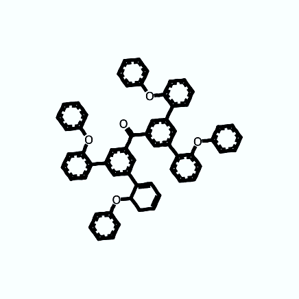 O=C(c1cc(C2=CC=CCC2Oc2ccccc2)cc(-c2ccccc2Oc2ccccc2)c1)c1cc(-c2ccccc2Oc2ccccc2)cc(-c2ccccc2Oc2ccccc2)c1